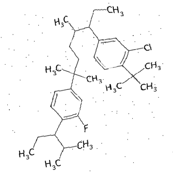 CCC(c1ccc(C(C)(C)CCC(C)C(CC)c2ccc(C(C)(C)C)c(Cl)c2)cc1F)C(C)C